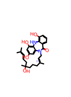 CC(C)=CCCC(C)(O)CCC/C(C)=C/CN1C(=O)c2cccc(O)c2Nc2c(O)cc(O)cc21